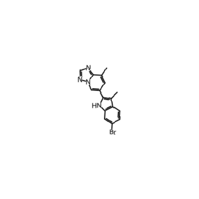 Cc1c(-c2cc(C)c3ncnn3c2)[nH]c2cc(Br)ccc12